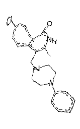 Cc1[nH]c(=O)c2cc(Cl)ccc2c1CN1CCN(c2ccccc2)CC1